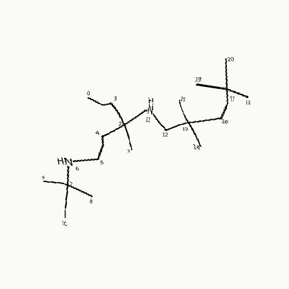 CCC(C)(CCNC(C)(C)I)NCC(C)(C)CC(C)(C)C